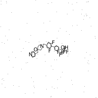 OC(c1ccc(-c2c(F)cc(CN3CCC4(CC3)Cc3ccncc3O4)cc2F)cc1)(C(F)(F)F)C(F)(F)F